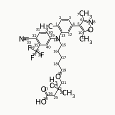 Cc1ccc(-c2c(C)noc2C)cc1N(CCCCCOCC(C)(C)CC(=O)O)c1ccc(C#N)c(C(F)(F)F)c1